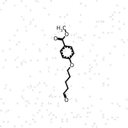 COC(=O)c1ccc(OCCCCC=O)cc1